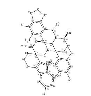 CC[C@H]1c2c3c(c(C)c(O)c2[C@]2(OC(=O)[C@]4(CS2)NCCc2c4[nH]c4ccc(C)cc24)C2C4NC(Cc5cc(C)c(OC)c(O)c54)[C@H](C#N)N21)OCO3